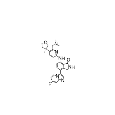 CN(C)Cc1nc(Nc2ccc(-c3cnc4cc(F)ccn34)c3c2C(=O)NC3)ccc1[C@@]1(C)CCOC1